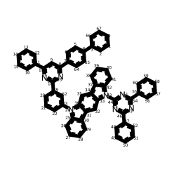 c1ccc(-c2ccc(-c3cc(-c4ccccc4)nc(-c4cccc(-n5c6ccccc6c6cc7c(cc65)c5ccccc5n7-c5nc(-c6ccccc6)nc(-c6ccccc6)n5)c4)n3)cc2)cc1